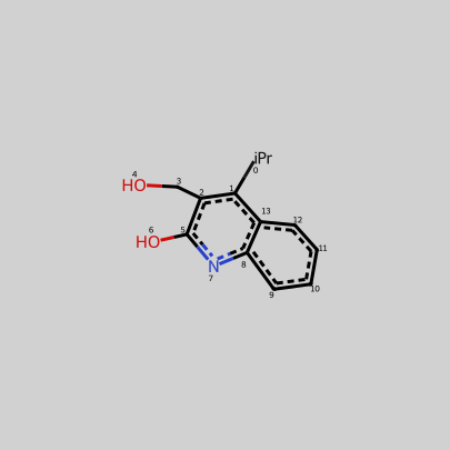 CC(C)c1c(CO)c(O)nc2ccccc12